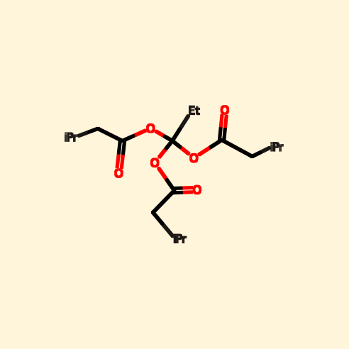 CCC(OC(=O)CC(C)C)(OC(=O)CC(C)C)OC(=O)CC(C)C